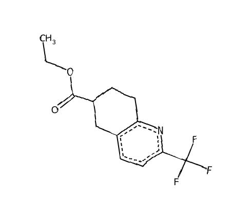 CCOC(=O)C1CCc2nc(C(F)(F)F)ccc2C1